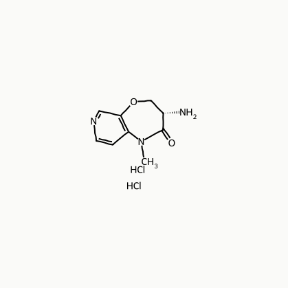 CN1C(=O)[C@@H](N)COc2cnccc21.Cl.Cl